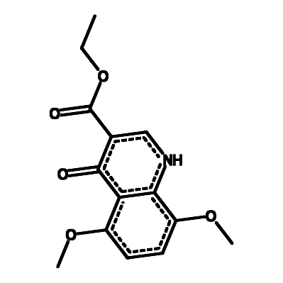 CCOC(=O)c1c[nH]c2c(OC)ccc(OC)c2c1=O